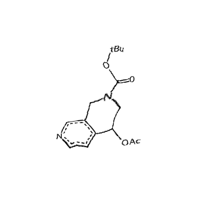 CC(=O)OC1CN(C(=O)OC(C)(C)C)Cc2cnccc21